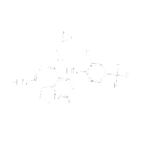 NC(=O)C1CCn2c1c(C(=O)OCC1CC1)c(Nc1ccc(C(F)(F)F)cc1F)cc2=O